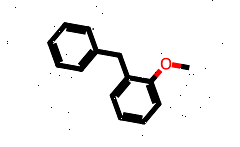 COc1ccccc1Cc1[c]cccc1